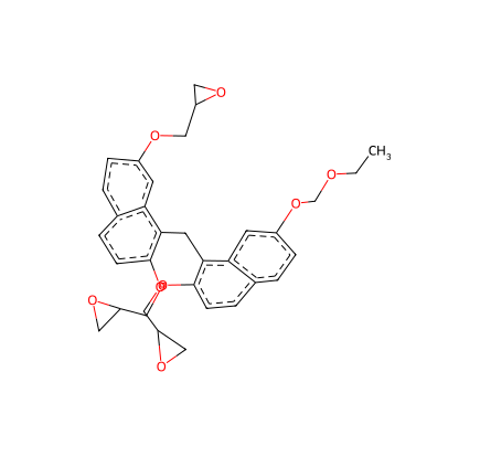 CCOCOc1ccc2ccc(OCC3CO3)c(Cc3c(OCC4CO4)ccc4ccc(OCC5CO5)cc34)c2c1